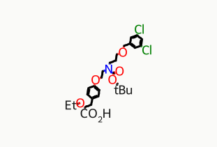 CCOC(Cc1ccc(OCCN(CCCOCc2cc(Cl)cc(Cl)c2)C(=O)OCC(C)(C)C)cc1)C(=O)O